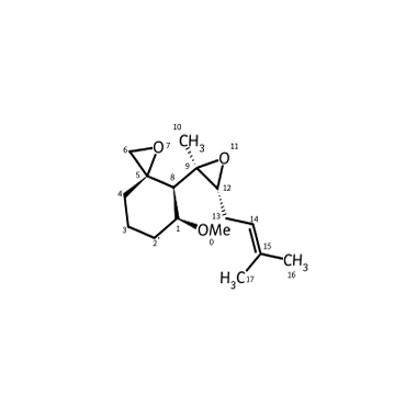 CO[C@H]1[CH]CC[C@]2(CO2)[C@H]1[C@@]1(C)O[C@@H]1CC=C(C)C